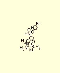 CCC1C(N)=NC(C)(c2cccc(NC(=O)Oc3ccc(Br)cn3)c2)C(=O)N1C